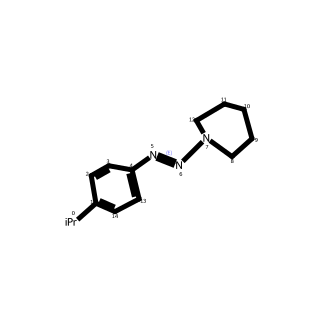 CC(C)c1ccc(/N=N/N2CCCCC2)cc1